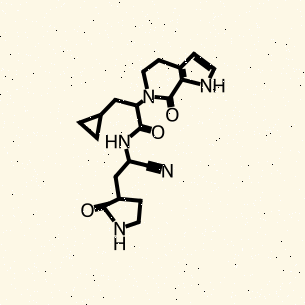 N#CC(CC1CCNC1=O)NC(=O)C(CC1CC1)N1CCc2cc[nH]c2C1=O